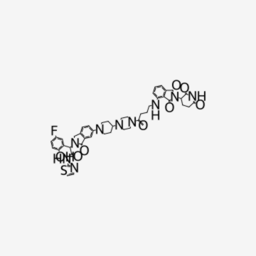 O=C1CCC(N2C(=O)c3cccc(NCCCC(=O)N4CCN(C5CCN(c6ccc7c(c6)C(=O)N(C(C(=O)Nc6nccs6)c6cc(F)ccc6O)C7)CC5)CC4)c3C2=O)C(=O)N1